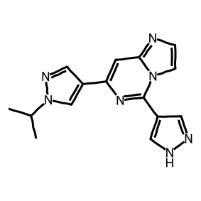 CC(C)n1cc(-c2cc3nccn3c(-c3cn[nH]c3)n2)cn1